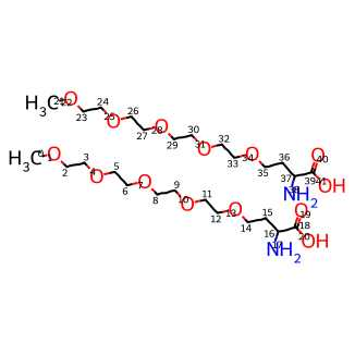 COCCOCCOCCOCCOCCC(N)C(=O)O.COCCOCCOCCOCCOCCC(N)C(=O)O